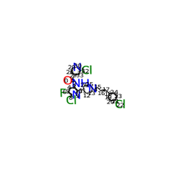 O=C(Nc1cc(F)c(Cl)nc1C1CCN(C/C=C/c2ccc(Cl)cc2)CC1)c1ccnc(Cl)c1